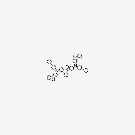 c1ccc(-c2ccc(N(c3ccc4c(c3)oc3c5ccc(N(c6ccc(-c7ccccc7)cc6)c6ccc7oc8ccccc8c7c6)cc5c5ccccc5c43)c3ccc4oc5ccccc5c4c3)cc2)cc1